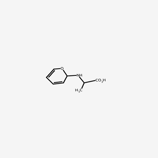 CC(NC1C=CC=CO1)C(=O)O